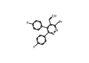 [CH]=Cc1c(C(C)C)nnc(-c2ccc(F)cc2)c1-c1ccc(F)cc1